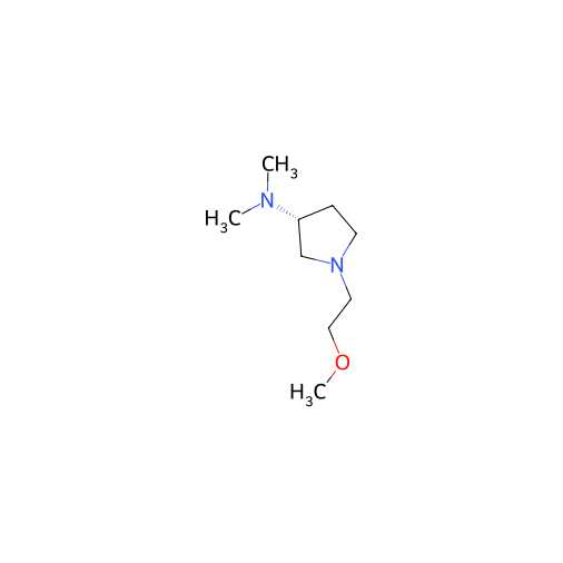 COCCN1CC[C@@H](N(C)C)C1